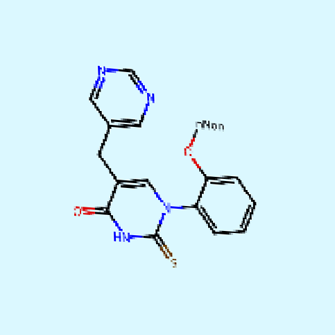 CCCCCCCCCOc1ccccc1-n1cc(Cc2cncnc2)c(=O)[nH]c1=S